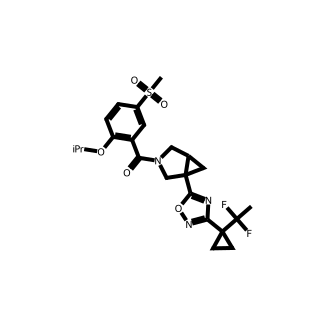 CC(C)Oc1ccc(S(C)(=O)=O)cc1C(=O)N1CC2CC2(c2nc(C3(C(C)(F)F)CC3)no2)C1